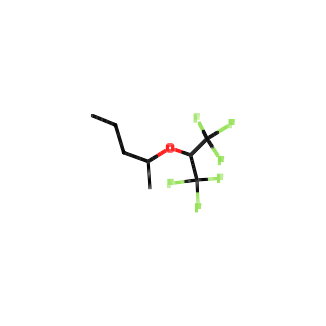 CCCC(C)OC(C(F)(F)F)C(F)(F)F